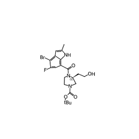 Cc1cc2c(Br)c(F)cc(C(=O)N3CCN(C(=O)OC(C)(C)C)C[C@@H]3CCO)c2[nH]1